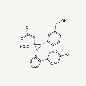 Clc1ccc(-c2cccs2)cc1.O=C(O)[C@@]1(N=S(=O)=O)C[C@H]1c1cccc(CO)c1